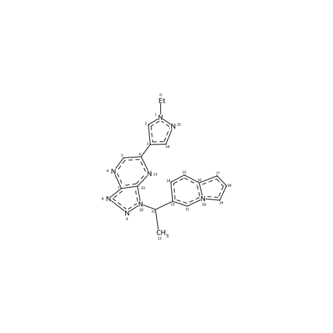 CCn1cc(-c2cnc3nnn(C(C)c4ccc5cccn5c4)c3n2)cn1